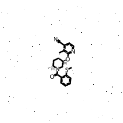 CSc1ccccc1C(=O)N1C[C@H](Oc2nccc(C#N)c2C)CC[C@H]1C